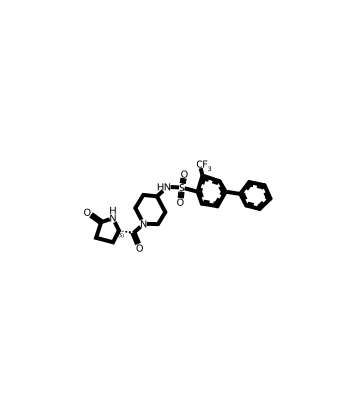 O=C1CC[C@@H](C(=O)N2CCC(NS(=O)(=O)c3ccc(-c4ccccc4)cc3C(F)(F)F)CC2)N1